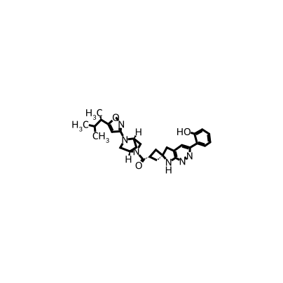 CC(C)[C@@H](C)c1cc(N2C[C@@H]3C[C@H]2CN3C(=O)[C@H]2C[C@@]3(Cc4cc(-c5ccccc5O)nnc4N3)C2)no1